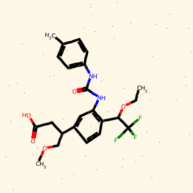 CCOC(c1ccc(C(COC)CC(=O)O)cc1NC(=O)Nc1ccc(C)cc1)C(F)(F)F